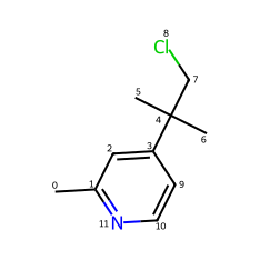 Cc1cc(C(C)(C)CCl)ccn1